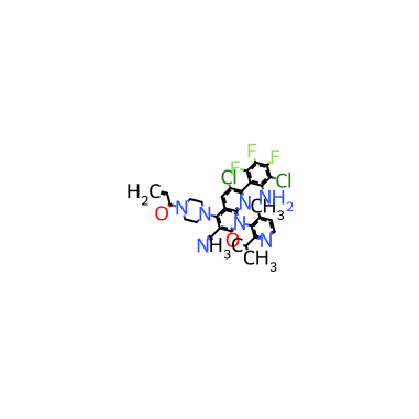 C=CC(=O)N1CCN(c2c(C#N)c(=O)n(-c3c(C)ccnc3C(C)C)c3nc(-c4c(N)c(Cl)c(F)c(F)c4F)c(Cl)cc23)CC1